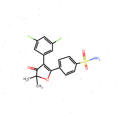 CC1(C)OC(c2ccc(S(N)(=O)=O)cc2)=C(c2cc(F)cc(F)c2)C1=O